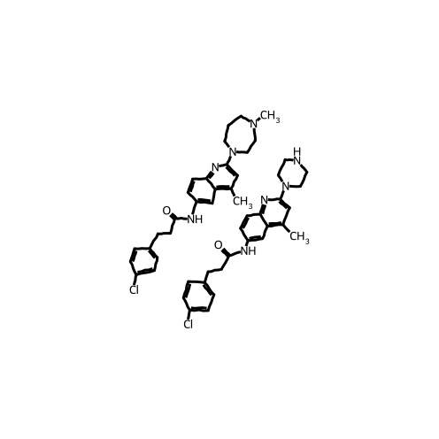 Cc1cc(N2CCCN(C)CC2)nc2ccc(NC(=O)CCc3ccc(Cl)cc3)cc12.Cc1cc(N2CCNCC2)nc2ccc(NC(=O)CCc3ccc(Cl)cc3)cc12